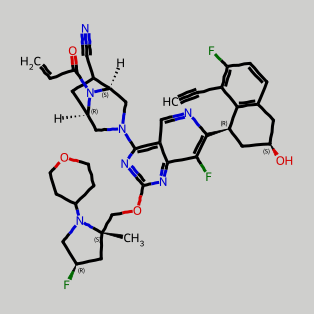 C#Cc1c(F)ccc2c1[C@H](c1ncc3c(N4C[C@H]5CC(C#N)[C@@H](C4)N5C(=O)C=C)nc(OC[C@]4(C)C[C@@H](F)CN4C4CCOCC4)nc3c1F)C[C@H](O)C2